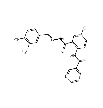 O=C(Nc1ccc(Cl)cc1C(=O)NN=Cc1ccc(Cl)c(C(F)(F)F)c1)c1cccnc1